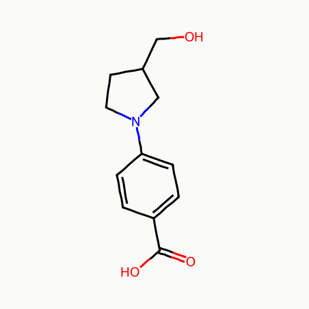 O=C(O)c1ccc(N2CCC(CO)C2)cc1